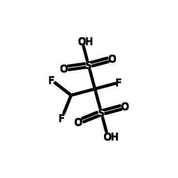 O=S(=O)(O)C(F)(C(F)F)S(=O)(=O)O